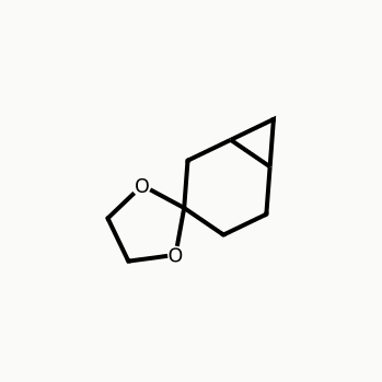 C1COC2(CCC3CC3C2)O1